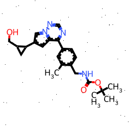 Cc1cc(-c2ncnn3cc(C4CC4CO)cc23)ccc1CNC(=O)OC(C)(C)C